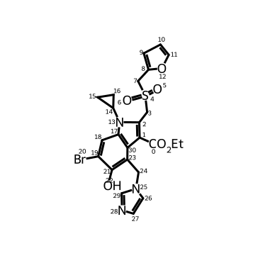 CCOC(=O)c1c(CS(=O)(=O)Cc2ccco2)n(C2CC2)c2cc(Br)c(O)c(Cn3ccnc3)c12